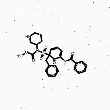 CC(C)(C)OC(=O)N(C1CCCNC1)S(=O)(=O)C1(Cc2ccccc2)C=CC=C(NC(=O)c2ccccc2)C1=O